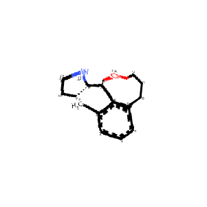 Cc1cccc2c1[C@@H]([C@@H]1CCCN1)OCCC2